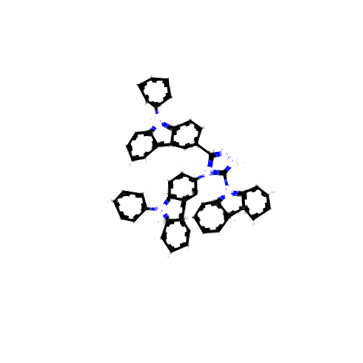 c1ccc(-n2c3ccccc3c3cc(-c4nnc(-n5c6ccccc6c6ccccc65)n4-c4ccc5c(c4)c4ccccc4n5-c4ccccc4)ccc32)cc1